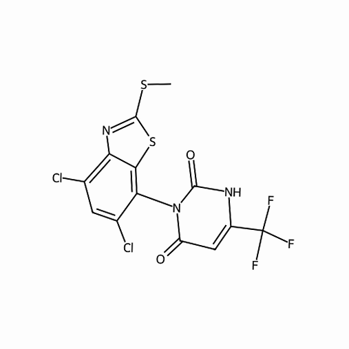 CSc1nc2c(Cl)cc(Cl)c(-n3c(=O)cc(C(F)(F)F)[nH]c3=O)c2s1